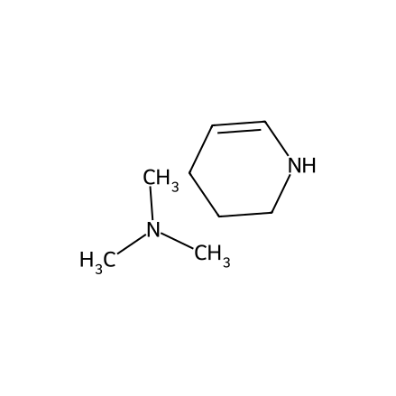 C1=CNCCC1.CN(C)C